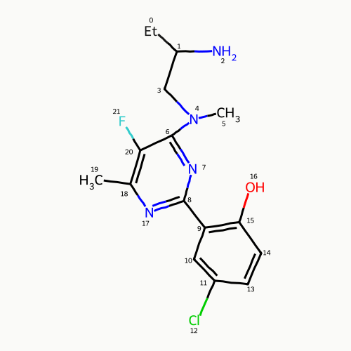 CCC(N)CN(C)c1nc(-c2cc(Cl)ccc2O)nc(C)c1F